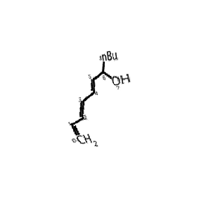 C=CC=CC=CC(O)CCCC